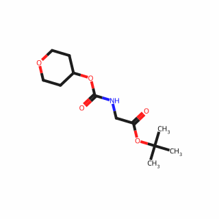 CC(C)(C)OC(=O)CNC(=O)OC1CCOCC1